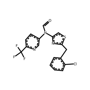 O=CN(c1ccc(C(F)(F)F)nc1)c1csc(Cc2ccccc2Cl)n1